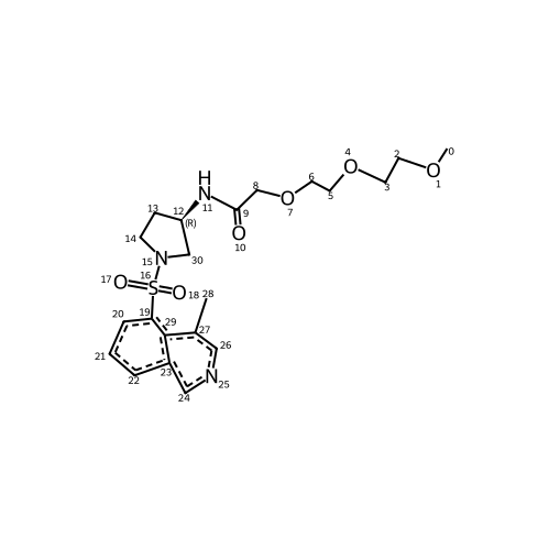 COCCOCCOCC(=O)N[C@@H]1CCN(S(=O)(=O)c2cccc3cncc(C)c23)C1